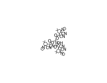 CC1(C)CC(N2CCCC2)=C(C#N)/C(=C(\C#N)C(=O)OCC(CO)(COC(=O)/C(C#N)=C2\CC(C)(C)CC(N3CCCC3)=C2C#N)COC(=O)C(C#N)C2CC(C)(C)CC(N3CCCC3)=C2C#N)C1